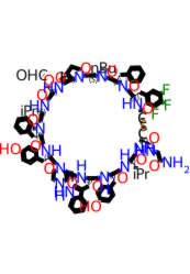 CCCC[C@H]1C(=O)N2CCC[C@@H]2C(=O)N[C@@H](COC=O)C(=O)N[C@@H](C(C)C)C(=O)N(C)[C@@H](Cc2ccccc2)C(=O)N[C@@H](Cc2ccc(O)cc2)C(=O)N2CCNC[C@@H]2C(=O)N[C@@H](Cc2c[nH]c3ccccc23)C(=O)N[C@@H](Cc2ccc(O)cc2)C(=O)N[C@@H](CC(C)C)C(=O)N[C@H](C(=O)NCC(N)=O)CSCC(=O)N[C@@H](Cc2cc(F)c(F)c(F)c2)C(=O)N(C)[C@@H](Cc2ccccc2)C(=O)N1C